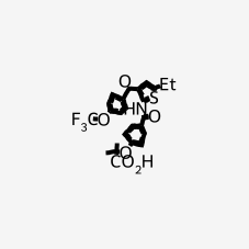 CCc1cc(C(=O)c2ccc(OC(F)(F)F)cc2)c(NC(=O)c2ccc(OC(C)(C)C(=O)O)cc2)s1